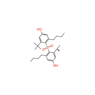 CCCCc1cc(O)cc(C(C)(C)C)c1S(=O)(=O)c1c(CCCC)cc(O)cc1C(C)(C)C